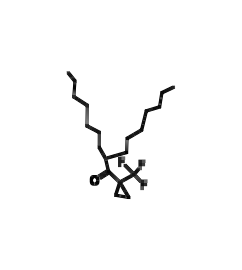 CCCCCCCC(CCCCCCC)C(=O)C1(C(F)(F)F)CC1